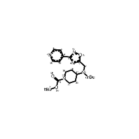 CCCCN(Cc1nc(-c2ccncc2)no1)C1CCN(C(=O)OC(C)(C)C)CC1